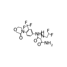 NC(=O)[C@@H](NCC(F)F)C(=O)Nc1ccc(N2CCOCC2=O)c(C(F)(F)F)c1